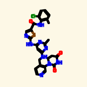 Cc1nc(NCc2ccncc2N2CCC(=O)NC2=O)cc(Nc2ncc(C(=O)Nc3c(C)cccc3Cl)s2)n1